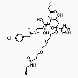 C#CCNC(=O)CCOCCOCCO[C@]1(c2nn[nH]n2)C[C@H](O)[C@@H](NC(=O)CO)[C@H]([C@H](O)[C@H](O)CNC(=O)Cc2ccc(Cl)cc2)O1